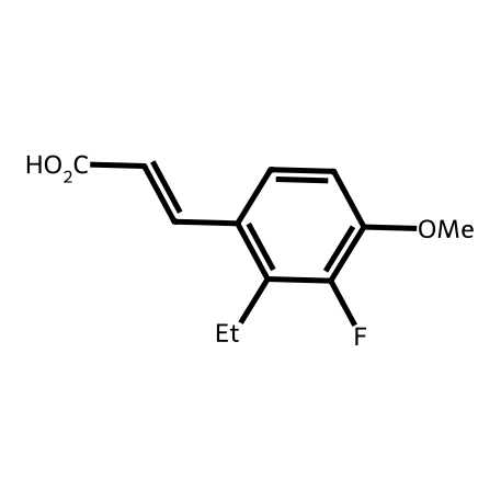 CCc1c(/C=C/C(=O)O)ccc(OC)c1F